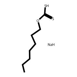 CCCCCCCOC(=S)S.[NaH]